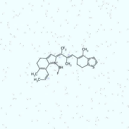 C/C=C\C1=C(C)CCC2=C/C(=C(/C(C)=C/C3=C(C)c4ccsc4CC3)C(F)(F)F)[N+](BF)=C21